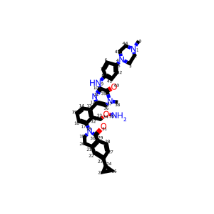 CN1CCN(c2ccc(Nc3nc(-c4cccc(N5CCc6cc(C7CC7)ccc6C5=O)c4CON)cn(C)c3=O)cc2)CC1